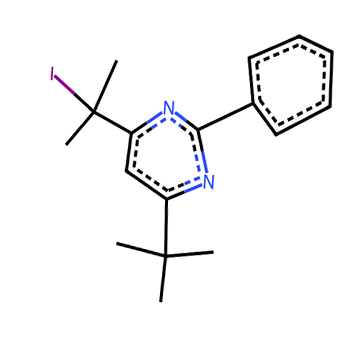 CC(C)(C)c1cc(C(C)(C)I)nc(-c2ccccc2)n1